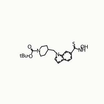 CC(C)(C)OC(=O)N1CCC(Cn2ccc3ccc(C(=S)NO)cc32)CC1